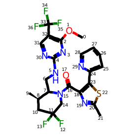 COc1nc(NCC2[C@H](C)CC(F)(F)CN2C(=O)c2nc(C)sc2-c2ccccn2)ncc1C(F)(F)F